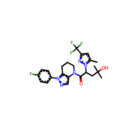 Cc1cc(C(F)(F)F)nn1C(CC(C)(C)O)C(=O)N1CCCc2c1cnn2-c1ccc(F)cc1